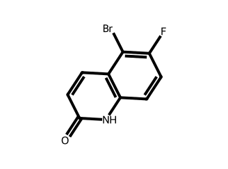 O=c1ccc2c(Br)c(F)ccc2[nH]1